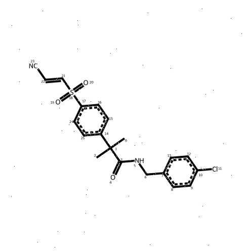 CC(C)(C(=O)NCc1ccc(Cl)cc1)c1ccc(S(=O)(=O)C=CC#N)cc1